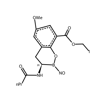 CCCC(=O)N[C@H]1Cc2cc(OC)cc(C(=O)OCI)c2OB1N=O